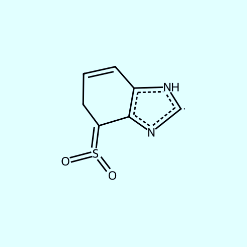 O=S(=O)=C1CC=Cc2[nH][c]nc21